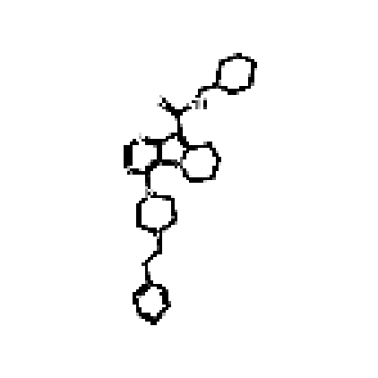 O=C(NCC1CCCCC1)c1c2n(c3c(N4CCN(CCc5ccccc5)CC4)ncnc13)CCCC2